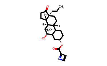 CCC[C@]12CC[C@H]3[C@@H](C[C@H](O)C4C[C@@H](OC(=O)C5=NC=C5)CC[C@@]43C)[C@@H]1CCC2=O